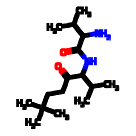 CC(C)C(N)C(=O)NC(C(=O)CCC(C)(C)C)C(C)C